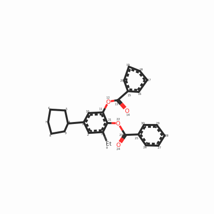 CCc1cc(C2CCCCC2)cc(OC(=O)c2ccccc2)c1OC(=O)c1ccccc1